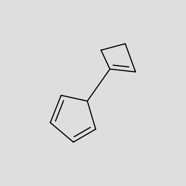 C1=CC(C2=CCC2)C=C1